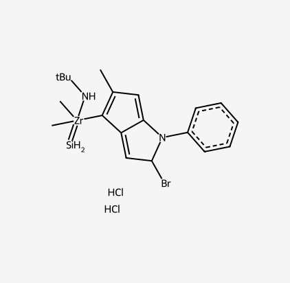 CC1=[C]([Zr]([CH3])([CH3])(=[SiH2])[NH]C(C)(C)C)C2=CC(Br)N(c3ccccc3)C2=C1.Cl.Cl